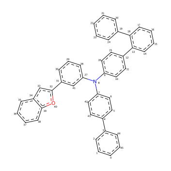 c1ccc(-c2ccc(N(c3ccc(-c4ccccc4-c4ccccc4)cc3)c3cccc(-c4cc5ccccc5o4)c3)cc2)cc1